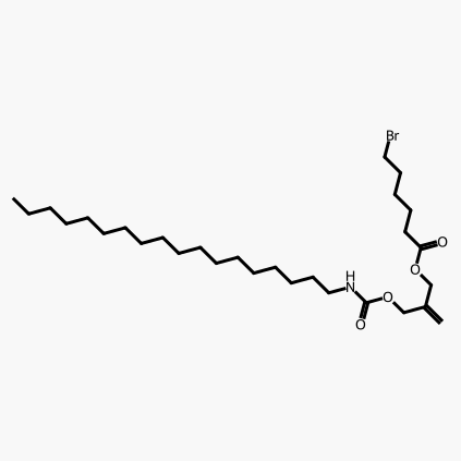 C=C(COC(=O)CCCCCBr)COC(=O)NCCCCCCCCCCCCCCCCCC